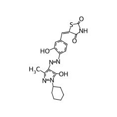 Cc1nn(C2CCCCC2)c(O)c1N=Nc1ccc(C=C2SC(=O)NC2=O)cc1O